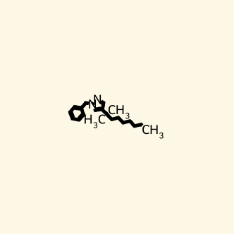 CCCCCCCC(C)(C)c1cnn(Cc2ccccc2)c1